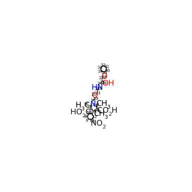 CC1=C(C(=O)O)C(C)(c2cccc([N+](=O)[O-])c2)C(C(=O)O)=C(C)N1CCOCCNCC(O)COc1ccccc1